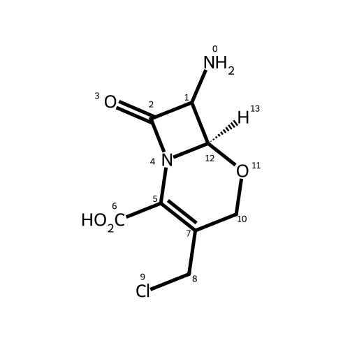 NC1C(=O)N2C(C(=O)O)=C(CCl)CO[C@H]12